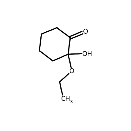 CCOC1(O)CCCCC1=O